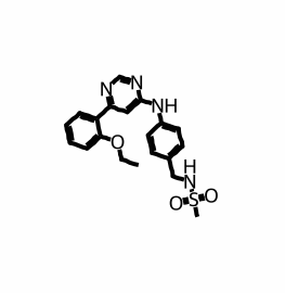 CCOc1ccccc1-c1cc(Nc2ccc(CNS(C)(=O)=O)cc2)ncn1